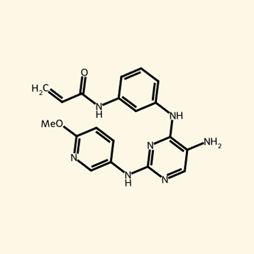 C=CC(=O)Nc1cccc(Nc2nc(Nc3ccc(OC)nc3)ncc2N)c1